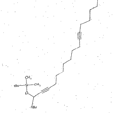 CCCCC(C#CCCCCCCCC#CCCCCBr)O[Si](C)(C)C(C)(C)C